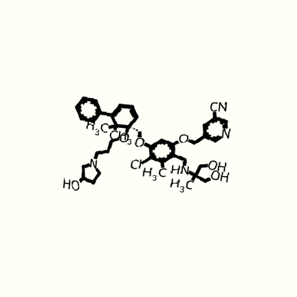 Cc1c(Cl)c(OC[C@@]2(OCCCN3CCC(O)C3)C=CC=C(c3ccccc3)C2(C)C)cc(OCc2cncc(C#N)c2)c1CNC(C)(CO)CO